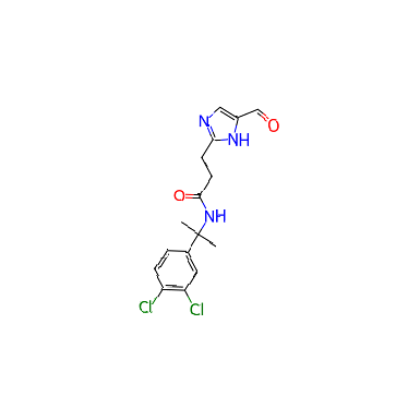 CC(C)(NC(=O)CCc1ncc(C=O)[nH]1)c1ccc(Cl)c(Cl)c1